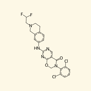 O=C1c2cnc(Nc3ccc4c(c3)CN(CC(F)F)CC4)nc2OCN1c1c(Cl)cccc1Cl